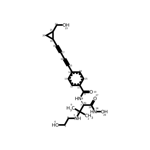 CC(C)(NCCO)[C@H](NC(=O)c1ccc(C#CC#CC2CC2CO)cc1)C(=O)NO